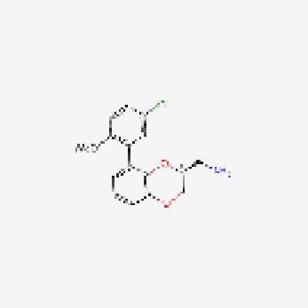 COc1ccc(Cl)cc1-c1cccc2c1O[C@@H](CN)CO2